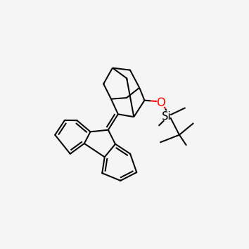 CC(C)(C)[Si](C)(C)OC1C2CC3CC(C2)C(=C2c4ccccc4-c4ccccc42)C1C3